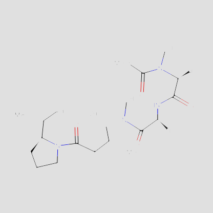 CC[C@H](C)[C@@H]([C@@H](CC(=O)N1CCC[C@H]1[C@H](OC)C(C)C)OC)N(C)C(=O)[C@@H](NC(=O)[C@H](C(C)C)N(C)C(=O)OC)C(C)C